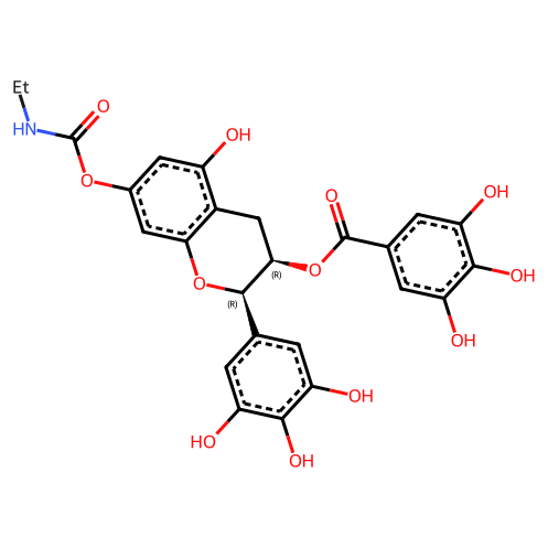 CCNC(=O)Oc1cc(O)c2c(c1)O[C@H](c1cc(O)c(O)c(O)c1)[C@H](OC(=O)c1cc(O)c(O)c(O)c1)C2